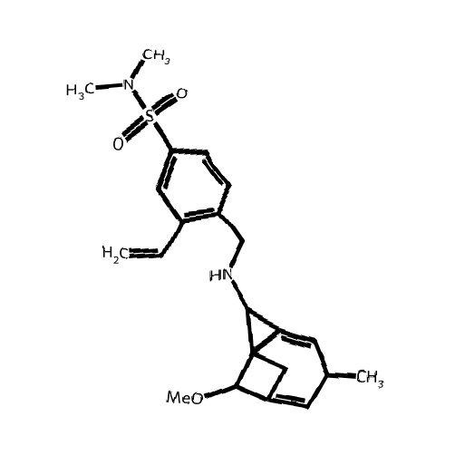 C=Cc1cc(S(=O)(=O)N(C)C)ccc1CNC1C2=CC(C)C=C3CC21C3OC